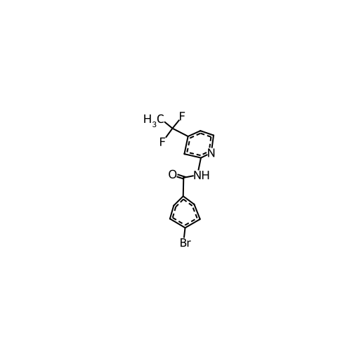 CC(F)(F)c1ccnc(NC(=O)c2ccc(Br)cc2)c1